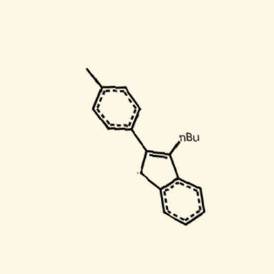 CCCCC1=C(c2ccc(C)cc2)[CH]c2ccccc21